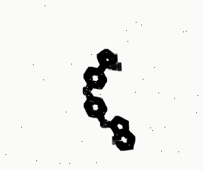 c1cnc2c(c1)CCC2Oc1ccc(Oc2ccc(-c3ccn[nH]3)cc2)cc1